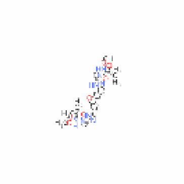 CC[C@H](C)C(NC(=O)OC)C(=O)N1CCC[C@H]1c1nc2ccc3cc4c(cc3c2[nH]1)OCc1cc(-c2cnc([C@@H]3CCCN3C(=O)[C@@H](NC(=O)OC)[C@@H](C)CC)[nH]2)ccc1-4